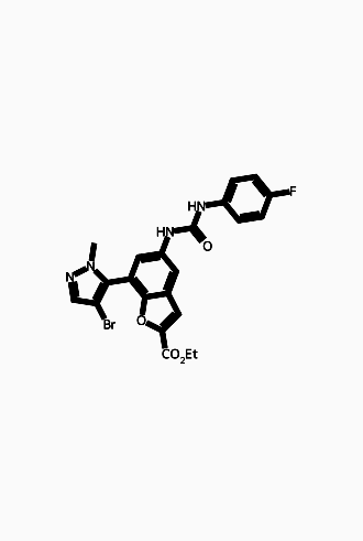 CCOC(=O)c1cc2cc(NC(=O)Nc3ccc(F)cc3)cc(-c3c(Br)cnn3C)c2o1